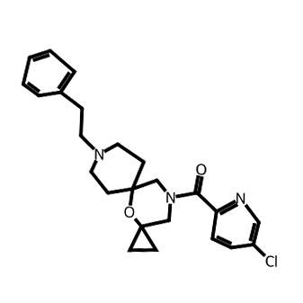 O=C(c1ccc(Cl)cn1)N1CC2(CCN(CCc3ccccc3)CC2)OC2(CC2)C1